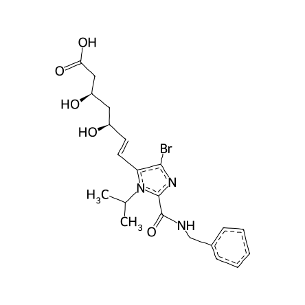 CC(C)n1c(C(=O)NCc2ccccc2)nc(Br)c1/C=C/[C@@H](O)C[C@@H](O)CC(=O)O